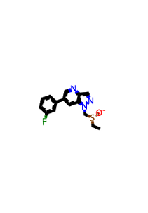 CC[S+]([O-])Cn1ncc2ncc(-c3cccc(F)c3)cc21